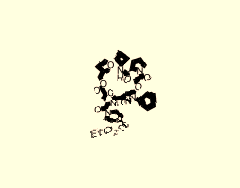 CCOC(=O)ON1CCN(C(=O)[C@H](CCC(=O)OCC2CCOC2)NC(=O)c2cc(OCC(=O)N3CCC[C@H]3C(=O)NC3CCC3)n(-c3ccccc3)n2)CC1